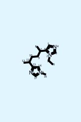 CCn1cncc1C(C)CCC(C)c1cn(C)cn1